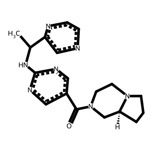 CC(Nc1ncc(C(=O)N2CCN3CCC[C@H]3C2)cn1)c1cnccn1